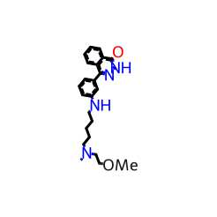 COCCN(C)CCCCCNc1cccc(-c2n[nH]c(=O)c3ccccc23)c1